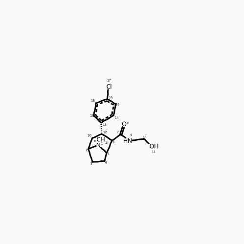 CN1C2CCC1C(C(=O)NCO)[C@@H](c1ccc(Cl)cc1)C2